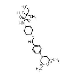 CCC(C)(C)S(=O)(=O)N[C@H]1CC[C@H](CNc2ccc(N3C[C@@H](C)O[C@@H](C)C3)cc2)CC1